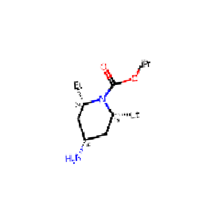 CC[C@@H]1C[C@H](N)C[C@H](CC)N1C(=O)OC(C)C